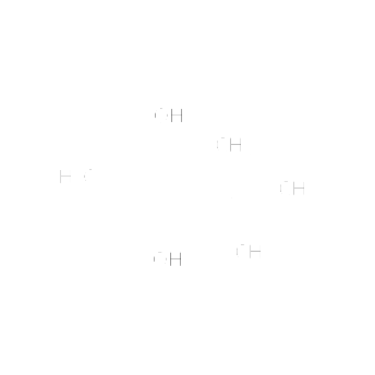 C[C@H](O)[C@@H](O)C(C)(C)C